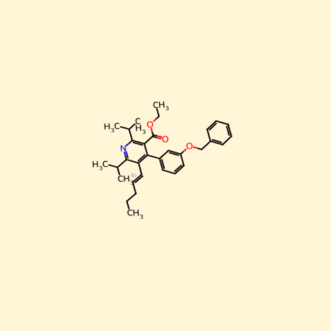 CCC/C=C/c1c(C(C)C)nc(C(C)C)c(C(=O)OCC)c1-c1cccc(OCc2ccccc2)c1